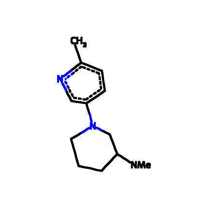 CNC1CCCN(c2ccc(C)nc2)C1